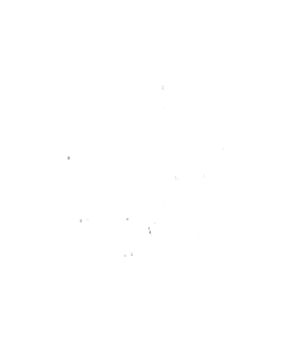 CCCCOCC1O[C@H]([C@@H](OC(C)=O)c2c(C)cc(Br)cc2C)C(OCCCC)[C@@H](OCCCC)[C@@H]1OCCCC